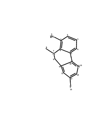 CC(C)c1cccc2c1N(C)Cc1cc(F)cnc1-2